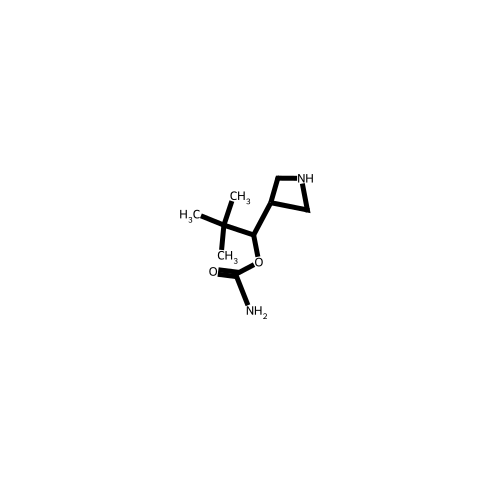 CC(C)(C)C(OC(N)=O)C1CNC1